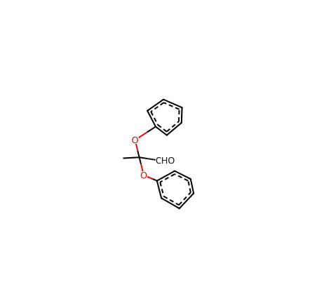 CC(C=O)(Oc1ccccc1)Oc1ccccc1